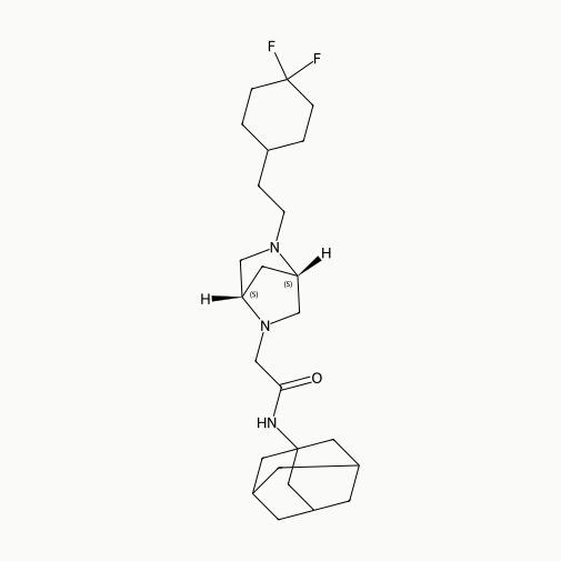 O=C(CN1C[C@@H]2C[C@H]1CN2CCC1CCC(F)(F)CC1)NC12CC3CC(CC(C3)C1)C2